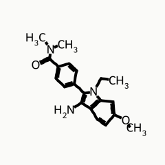 CCn1c(-c2ccc(C(=O)N(C)C)cc2)c(N)c2ccc(OC)cc21